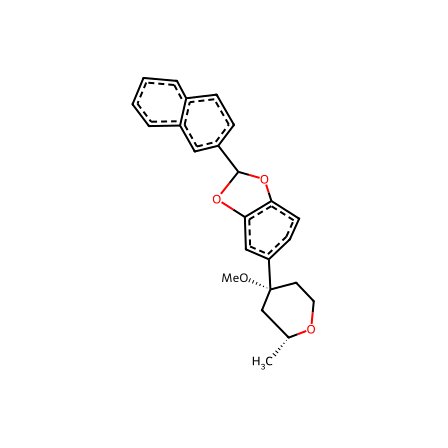 CO[C@]1(c2ccc3c(c2)OC(c2ccc4ccccc4c2)O3)CCO[C@H](C)C1